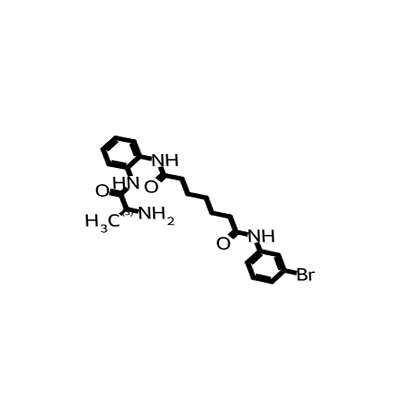 C[C@H](N)C(=O)Nc1ccccc1NC(=O)CCCCCC(=O)Nc1cccc(Br)c1